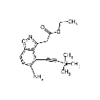 CCOC(=O)Cc1noc2ccc(N)c(C#C[Si](C)(C)C)c12